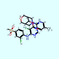 CS(=O)(=O)c1ccc(Nc2ncnc(OC3C4COCC3CN(c3ccc(C(F)(F)F)cn3)C4)c2F)c(F)c1